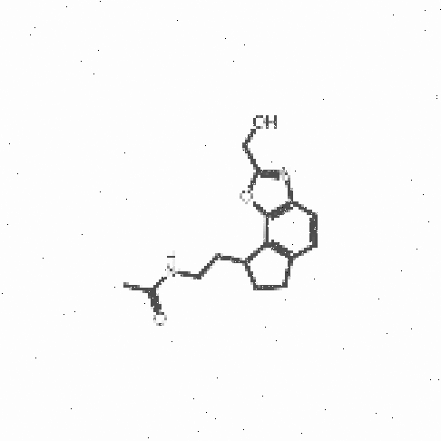 CC(=O)NCCC1CCc2ccc3nc(CO)oc3c21